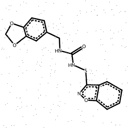 O=C(NCc1ccc2c(c1)OCO2)NSc1noc2ccccc12